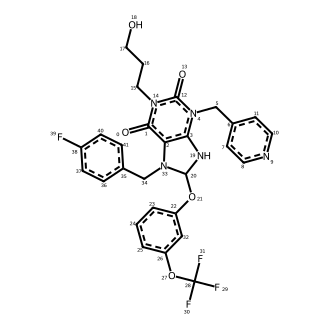 O=c1c2c(n(Cc3ccncc3)c(=O)n1CCCO)NC(Oc1cccc(OC(F)(F)F)c1)N2Cc1ccc(F)cc1